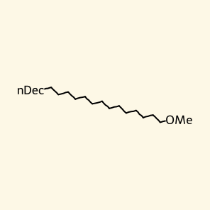 [CH2]CCCCCCCCCCCCCCCCCCCCCCCOC